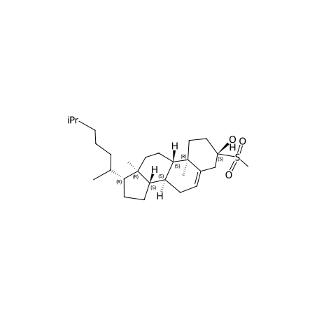 CC(C)CCCC(C)[C@H]1CC[C@H]2[C@@H]3CC=C4C[C@@](O)(S(C)(=O)=O)CC[C@]4(C)[C@H]3CC[C@]12C